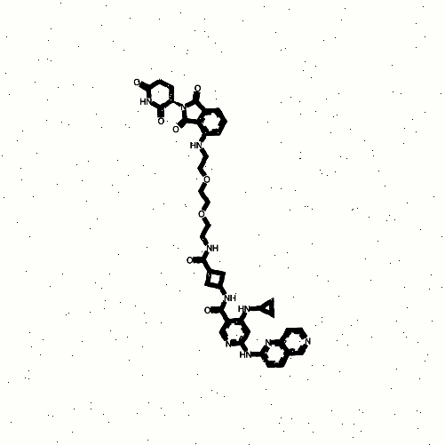 O=C1CC[C@@H](N2C(=O)c3cccc(NCCOCCOCCNC(=O)C4CC(NC(=O)c5cnc(Nc6ccc7cnccc7n6)cc5NC5CC5)C4)c3C2=O)C(=O)N1